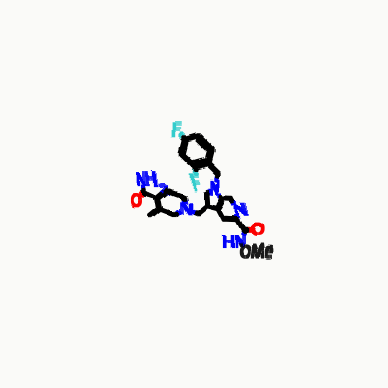 CONC(=O)c1cc2c(CN3CC[C@H](C(N)=O)C(C)C3)cn(Cc3ccc(F)cc3F)c2cn1